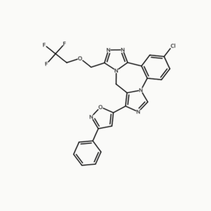 FC(F)(F)COCc1nnc2n1Cc1c(-c3cc(-c4ccccc4)no3)ncn1-c1ccc(Cl)cc1-2